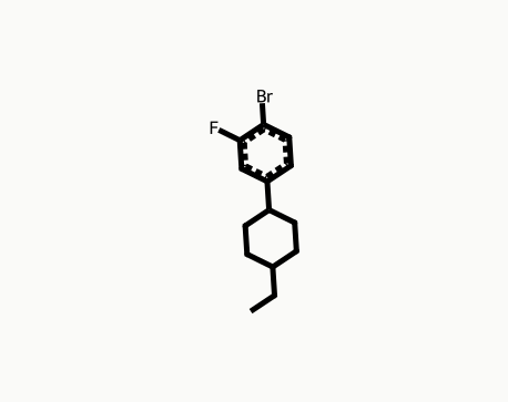 CCC1CCC(c2ccc(Br)c(F)c2)CC1